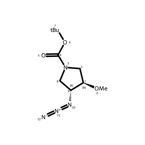 CO[C@@H]1CN(C(=O)OC(C)(C)C)C[C@H]1N=[N+]=[N-]